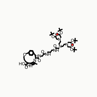 CC1C[C@H]2C(=O)N1C(C(=O)NCC(=O)NCCCNC(=O)CN(CCN(CC(=O)OC(C)(C)C)CC(=O)OC(C)(C)C)CCN(CC(=O)OC(C)(C)C)CC(=O)OC(C)(C)C)Cc1ccc(cc1)OCCC[C@@H]2C(=O)O